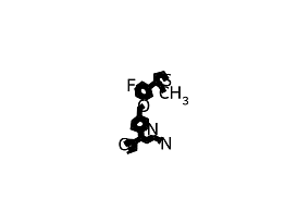 Cc1sccc1-c1cc(F)cc(OCc2ccc3c(-c4ccoc4)cc(C#N)nc3c2)c1